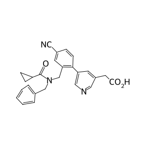 N#Cc1ccc(-c2cncc(CC(=O)O)c2)c(CN(Cc2ccccc2)C(=O)C2CC2)c1